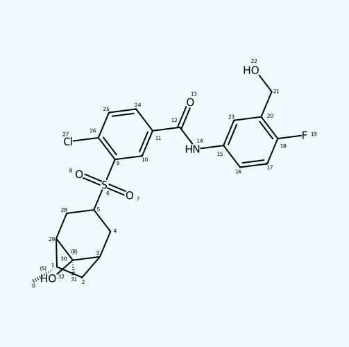 C[C@H]1CC2CC(S(=O)(=O)c3cc(C(=O)Nc4ccc(F)c(CO)c4)ccc3Cl)CC1[C@]2(C)O